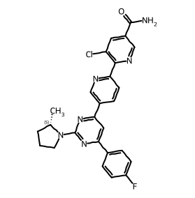 C[C@H]1CCCN1c1nc(-c2ccc(F)cc2)cc(-c2ccc(-c3ncc(C(N)=O)cc3Cl)nc2)n1